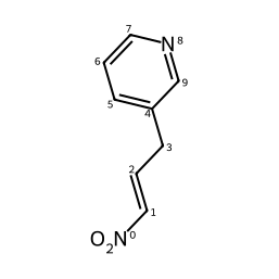 O=[N+]([O-])C=CCc1cccnc1